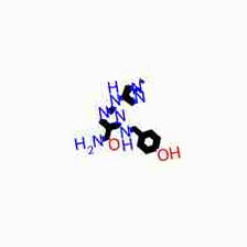 Cn1cc(Nc2ncc(C(N)=O)c(NCc3ccc(O)cc3)n2)cn1